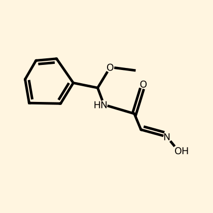 COC(NC(=O)C=NO)c1ccccc1